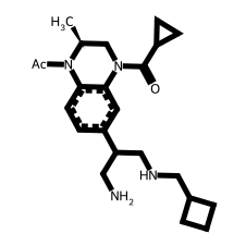 CC(=O)N1c2ccc(C(CN)CNCC3CCC3)cc2N(C(=O)C2CC2)C[C@@H]1C